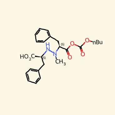 CCCCOC(=O)OC(=O)[C@H](Cc1ccccc1)N(C)N[C@@H](Cc1ccccc1)C(=O)O